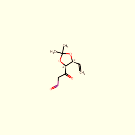 C=C[C@@H]1OC(C)(C)O[C@@H]1C(=O)CP=O